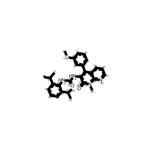 COc1cccc(-c2c(NC(=O)Nc3c(C(C)C)cccc3C(C)C)c(=O)n(C)c3ncccc23)c1